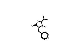 CC(C)C1OC(=O)N(Cc2ccncc2)[C@@H]1C